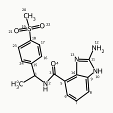 CC(NC(=O)c1cccc2[nH]c(N)nc12)c1ccc(S(C)(=O)=O)cc1